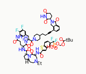 CCN1CC[C@H]2CC[C@@H](C(=O)N[C@@H](CCC(N)=O)C(=O)N[C@@H](Cc3ccc(F)c(F)c3)C(=O)N3CCC(CCC#Cc4cccc5c4CN(C4CCC(=O)NC4=O)C5=O)CC3)N2C(=O)[C@@H](NC(=O)c2cc3cc(C(F)(F)P(=O)(O)OCOC(=O)C(C)(C)C)ccc3s2)C1